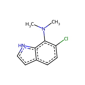 CN(C)c1c(Cl)ccc2cc[nH]c12